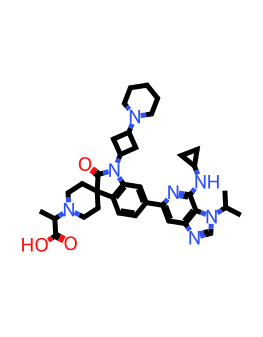 CC(C(=O)O)N1CCC2(CC1)C(=O)N(C1CC(N3CCCCC3)C1)c1cc(-c3cc4ncn(C(C)C)c4c(NC4CC4)n3)ccc12